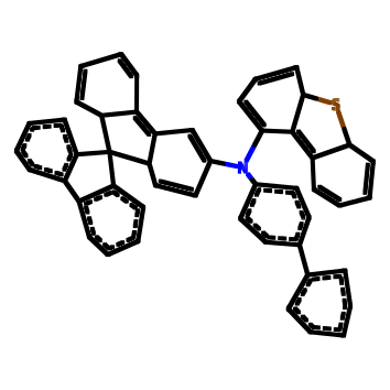 C1=CC2=C3C(N(C4=CC5=C6C=CC=CC6C6(c7ccccc7-c7ccccc76)C5C=C4)c4ccc(-c5ccccc5)cc4)=CC=CC3SC2C=C1